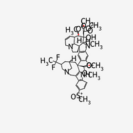 CC[C@]12C=CCN3CC[C@@]4(c5cc([C@@]6(C(=O)OC)C[C@H]7CC(C(C)(F)F)CN(Cc8c6[nH]c6ccc([S+](C)[O-])cc86)C7)c(OC)cc5N(C)[C@H]4[C@@](O)(C(=O)OC)[C@@H]1OC(C)=O)[C@@H]32